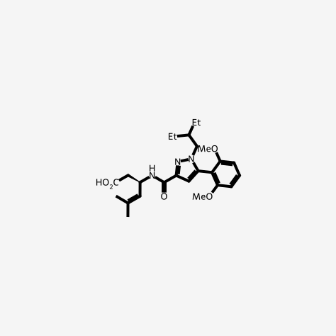 CCC(CC)Cn1nc(C(=O)N[C@@H](C=C(C)C)CC(=O)O)cc1-c1c(OC)cccc1OC